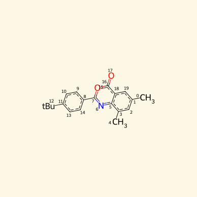 Cc1cc(C)c2nc(-c3ccc(C(C)(C)C)cc3)oc(=O)c2c1